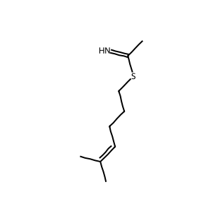 CC(=N)SCCCC=C(C)C